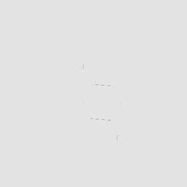 CCP(C)(=O)C1CCC(F)CC1